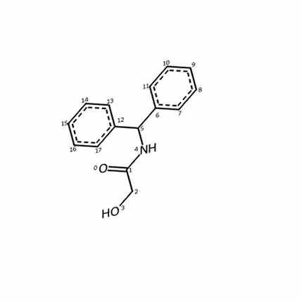 O=C(CO)NC(c1ccccc1)c1ccccc1